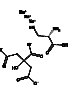 N[C@@H](CS)C(=O)O.O=C([O-])CC(O)(CC(=O)[O-])C(=O)[O-].[Na+].[Na+].[Na+]